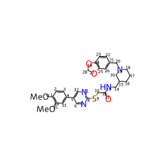 COc1ccc(-c2cnc(SCC(=O)NCC3CCCN(Cc4ccc5c(c4)OCO5)C3)nc2)cc1OC